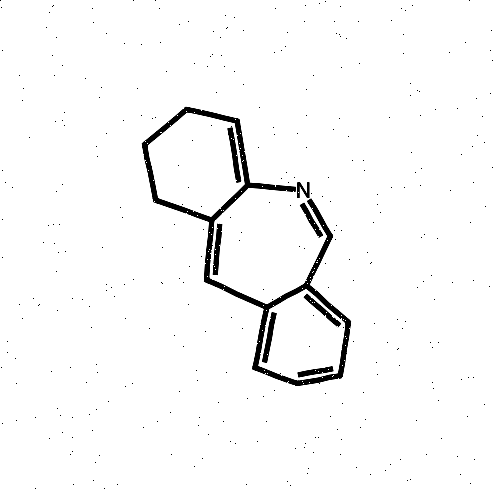 C1=NC2=CCCCC2=Cc2ccccc21